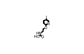 O=C(O)NCCOc1ccc(I)cn1